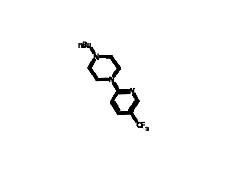 CCCCN1CCN(c2ccc(C(F)(F)F)cn2)CC1